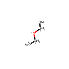 CC(=O)O[SiH2]O[SiH2]OC(C)=O